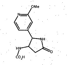 COc1cc(C2NC(=O)CC2NC(=O)O)ccn1